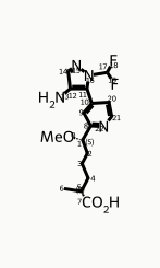 CO[C@@H](CCC[C@@H](C)C(=O)O)c1cc(-c2c(N)cnn2C(F)F)ccn1